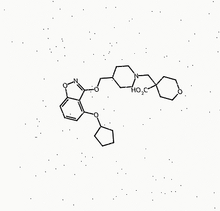 O=C(O)C1(CN2CCC(COc3noc4cccc(OC5CCCC5)c34)CC2)CCOCC1